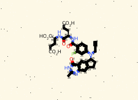 C#CCN(c1ccc(C(=O)N[C@H](CCC(=O)O)C(=O)N[C@H](CCC(=O)O)C(=O)O)c(F)c1)[C@H]1CCc2cc3nc(C)[nH]c(=O)c3cc21